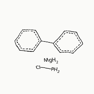 PCl.[MgH2].c1ccc(-c2ccccc2)cc1